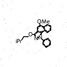 COc1cc2c(OCCC(C)C)nn(-c3ccccc3)c2c2ccccc12